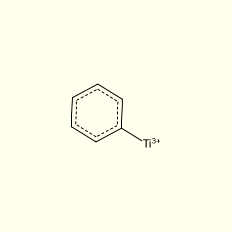 [Ti+3][c]1ccccc1